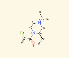 C=C(F)C(=O)N1CCN(C(C)C)C[C@H]1CC